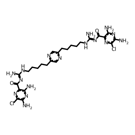 N/C(=N\C(=O)c1nc(Cl)c(N)nc1N)NCCCCCc1cnc(CCCCCN/C(N)=N/C(=O)c2nc(Cl)c(N)nc2N)cn1